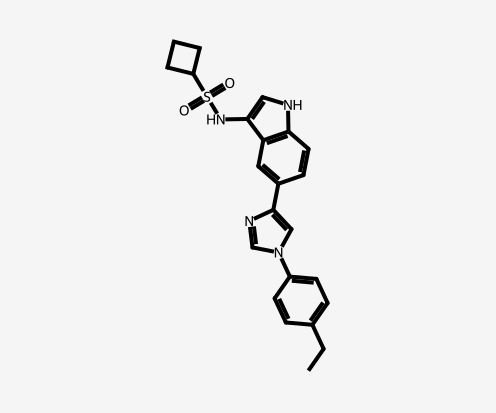 CCc1ccc(-n2cnc(-c3ccc4[nH]cc(NS(=O)(=O)C5CCC5)c4c3)c2)cc1